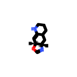 C1=N[C@H]2CC3CCCNC3=C[C@@H]2O1